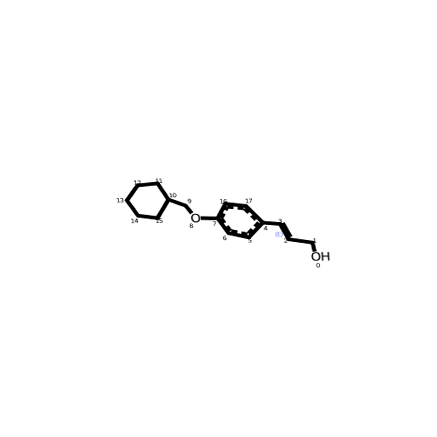 OC/C=C/c1ccc(OCC2CCCCC2)cc1